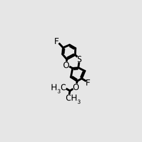 CC(C)Oc1cc2c(cc1F)Sc1ccc(F)cc1O2